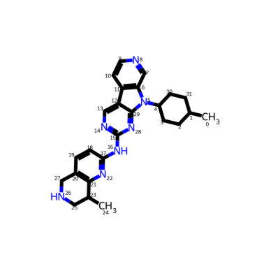 CC1CCC(n2c3cnccc3c3cnc(Nc4ccc5c(n4)C(C)CNC5)nc32)CC1